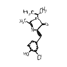 C=C(C)N1C(=O)/C(=C/c2ccc(O)c(Cl)c2)N=C1C